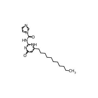 CCCCCCCCCCCc1cc(=O)nc(NC(=O)n2ccnc2)[nH]1